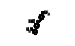 Cl.Nc1conc1-c1ccc(OCc2ccc(OC(F)(F)F)cc2)cc1